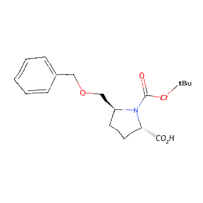 CC(C)(C)OC(=O)N1[C@H](COCc2ccccc2)CC[C@H]1C(=O)O